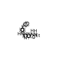 CCNC(=O)Nc1ccc2ncc(Nc3ccc(CN4CCOCC4)cc3)nc2n1